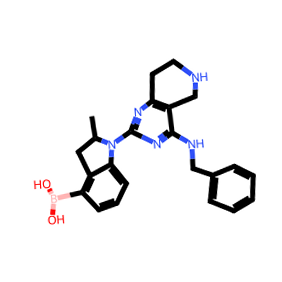 CC1Cc2c(B(O)O)cccc2N1c1nc2c(c(NCc3ccccc3)n1)CNCC2